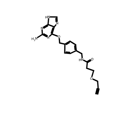 C#CCOCCC(=O)NCc1ccc(COc2nc(N)nc3[nH]cnc23)cc1